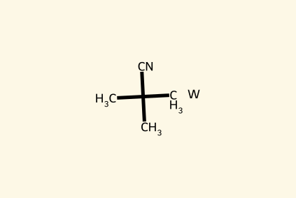 CC(C)(C)C#N.[W]